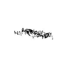 Cc1c(Nc2nccc3cc(CN4CCCCC4C(=O)O)cnc23)cccc1-c1cccc(OCCCN2CCN(C)CC2)c1C